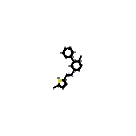 Cc1ccc(/C=C/c2ccc(C)c(-c3ccccc3)c2)s1